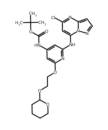 CC(C)(C)OC(=O)Nc1cc(Nc2cc(Cl)nc3ccnn23)nc(OCCOC2CCCCO2)c1